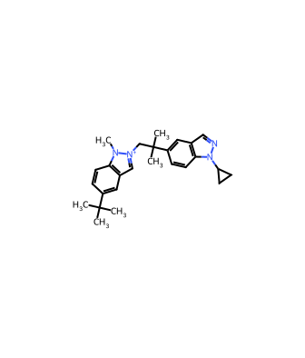 Cn1c2ccc(C(C)(C)C)cc2c[n+]1CC(C)(C)c1ccc2c(cnn2C2CC2)c1